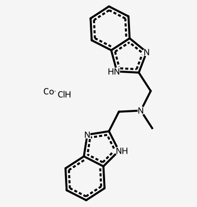 CN(Cc1nc2ccccc2[nH]1)Cc1nc2ccccc2[nH]1.Cl.[Co]